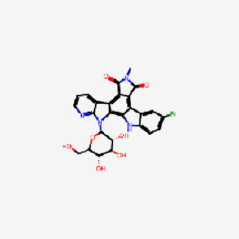 CN1C(=O)c2c(c3c4cccnc4n([C@@H]4O[C@H](CO)[C@@H](O)[C@H](O)[C@H]4O)c3c3[nH]c4ccc(Br)cc4c23)C1=O